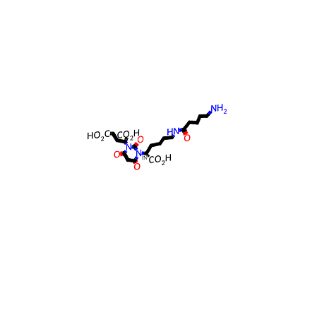 NCCCCC(=O)NCCCC[C@@H](C(=O)O)N1C(=O)CC(=O)N(C(CCC(=O)O)C(=O)O)C1=O